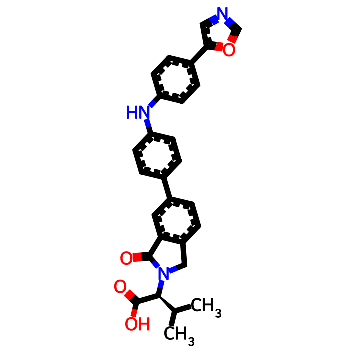 CC(C)[C@@H](C(=O)O)N1Cc2ccc(-c3ccc(Nc4ccc(-c5cnco5)cc4)cc3)cc2C1=O